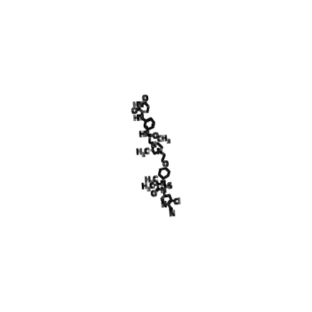 C[C@@H]1CN(CCO[C@H]2CC[C@H](N3C(=S)N(c4cnc(C#N)c(Cl)c4)C(=O)C3(C)C)CC2)C[C@H](C)N1CC(=O)Nc1cccc(NC2CCC(=O)NC2=O)c1